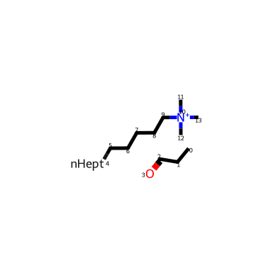 CCC=O.CCCCCCCCCCCC[N+](C)(C)C